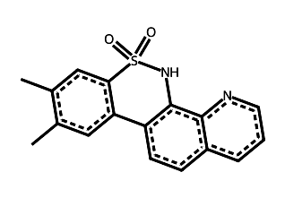 Cc1cc2c(cc1C)S(=O)(=O)Nc1c-2ccc2cccnc12